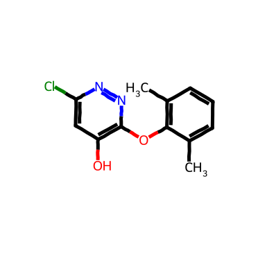 Cc1cccc(C)c1Oc1nnc(Cl)cc1O